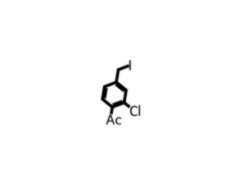 CC(=O)c1ccc(CI)cc1Cl